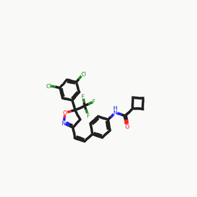 O=C(Nc1ccc(/C=C\C2=NOC(c3cc(Cl)cc(Cl)c3)(C(F)(F)F)C2)cc1)C1CCC1